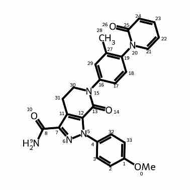 COc1ccc(-n2nc(C(N)=O)c3c2C(=O)N(c2ccc(-n4ccccc4=O)c(C)c2)CC3)cc1